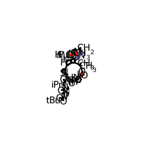 C=C(/C=N\C(=C\c1c2c3cc(c(F)cc3n1CC(F)(F)F)-c1csc(n1)C[C@H](NC(=O)[C@H](C(C)C)N1CC[C@@]3(CCN(C(=O)OC(C)(C)C)C3)C1=O)C(=O)N1CCC[C@H](N1)C(=O)OCC(C)(C)C2)[C@H](C)OC)N1CCN(C)CC1